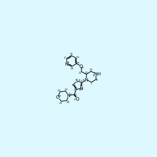 O=C(c1csc(N2CCNCC2COc2cccnc2)n1)N1CCOCC1